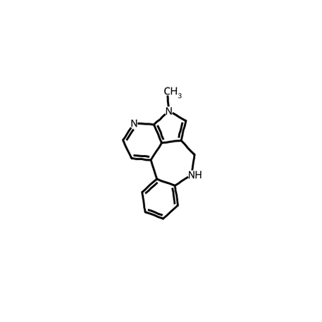 Cn1cc2c3c(ccnc31)-c1ccccc1NC2